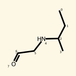 CCC(C)NC[C]=O